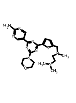 CN(C)CCN(C)Cc1ccc(-c2nc(-c3cnc(N)nc3)nc(N3CCOCC3)n2)s1